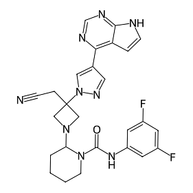 N#CCC1(n2cc(-c3ncnc4[nH]ccc34)cn2)CN(C2CCCCN2C(=O)Nc2cc(F)cc(F)c2)C1